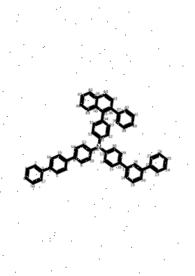 c1ccc(-c2ccc(-c3ccc(N(c4ccc(-c5cccc(-c6ccccc6)c5)cc4)c4ccc(-c5c(-c6ccccc6)ccc6ccccc56)cc4)cc3)cc2)cc1